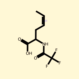 C/C=C\CC(NC(=O)C(F)(F)F)C(=O)O